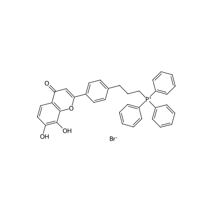 O=c1cc(-c2ccc(CCC[P+](c3ccccc3)(c3ccccc3)c3ccccc3)cc2)oc2c(O)c(O)ccc12.[Br-]